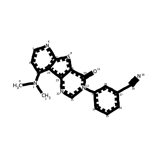 CN(C)c1ccnc2sc3c(=O)n(-c4cccc(C#N)c4)cnc3c12